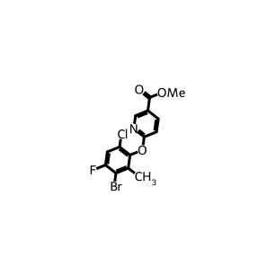 COC(=O)c1ccc(Oc2c(Cl)cc(F)c(Br)c2C)nc1